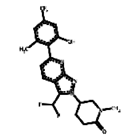 Cc1cc(C(F)(F)F)cc(O)c1-c1ccc2c(C(F)F)n(C3CCC(=O)N(C)C3)nc2n1